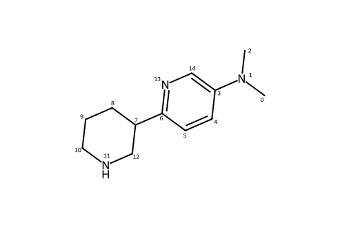 CN(C)c1ccc(C2CCCNC2)nc1